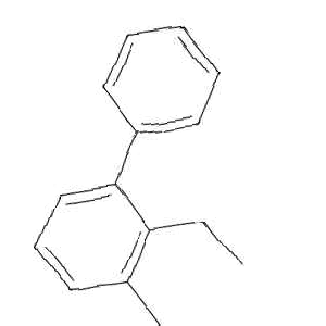 CCc1c(C)cccc1-c1ccccc1